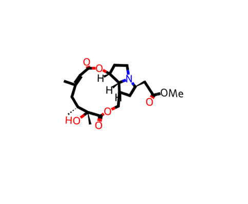 COC(=O)C[C@H]1C[C@@H]2COC(=O)[C@](C)(O)[C@H](C)C/C(C)=C\C(=O)O[C@@H]3CCN1[C@H]23